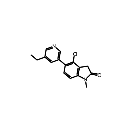 CCc1cncc(-c2ccc3c(c2Cl)CC(=O)N3C)c1